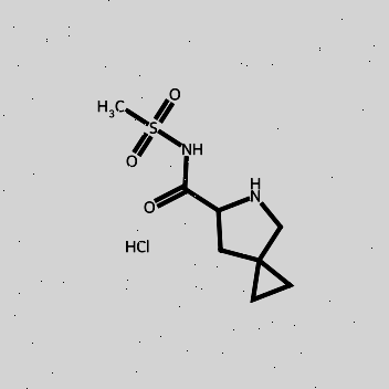 CS(=O)(=O)NC(=O)C1CC2(CC2)CN1.Cl